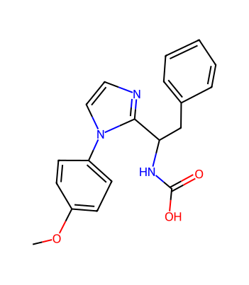 COc1ccc(-n2ccnc2C(Cc2ccccc2)NC(=O)O)cc1